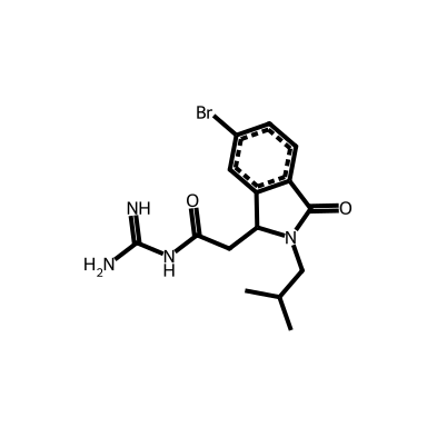 CC(C)CN1C(=O)c2ccc(Br)cc2C1CC(=O)NC(=N)N